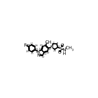 CNS(=O)(=O)C1CCN(c2cc3cnn(-c4ccc(F)cc4)c3cc2C)C1